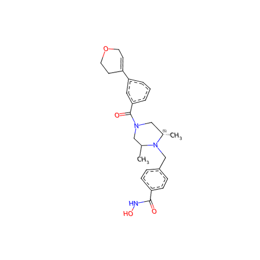 CC1CN(C(=O)c2cccc(C3=CCOCC3)c2)C[C@H](C)N1Cc1ccc(C(=O)NO)cc1